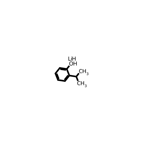 CC(C)c1ccccc1O.[LiH]